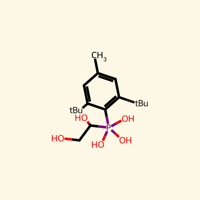 Cc1cc(C(C)(C)C)c(P(O)(O)(O)C(O)CO)c(C(C)(C)C)c1